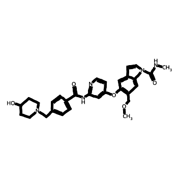 CNC(=O)n1ccc2cc(Oc3ccnc(NC(=O)c4ccc(CN5CCC(O)CC5)cc4)c3)c(COC)cc21